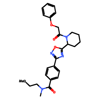 COCCN(C)C(=O)c1ccc(-c2noc(C3CCCCN3C(=O)COc3ccccc3)n2)cc1